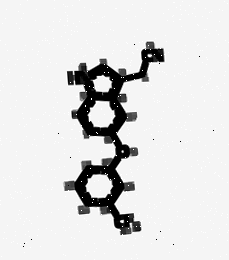 N#CCc1c[nH]c2ccc(Oc3cccc(C(F)(F)F)c3)cc12